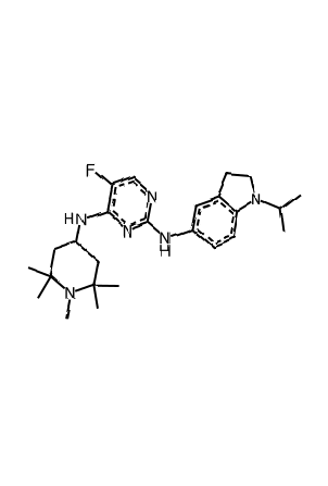 CC(C)N1CCc2cc(Nc3ncc(F)c(NC4CC(C)(C)N(C)C(C)(C)C4)n3)ccc21